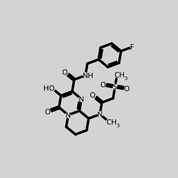 CN(C(=O)CS(C)(=O)=O)C1CCCn2c1nc(C(=O)NCc1ccc(F)cc1)c(O)c2=O